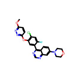 COc1ccc(Oc2cc(-c3ncnc4cc(N5CCOCC5)ccc34)c(F)cc2Cl)nn1